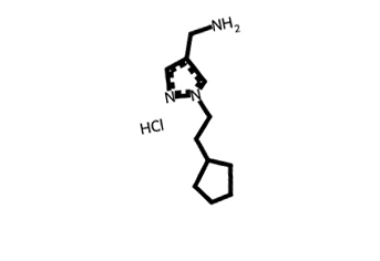 Cl.NCc1cnn(CCC2CCCC2)c1